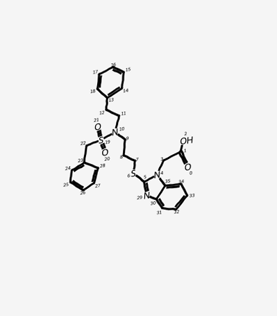 O=C(O)Cn1c(SCCCN(CCc2ccccc2)S(=O)(=O)Cc2ccccc2)nc2ccccc21